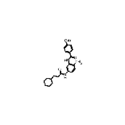 CC(=O)Oc1ccc(C(=O)Nc2cc(NC(=O)CCC3CCCCC3)ccc2C)cc1